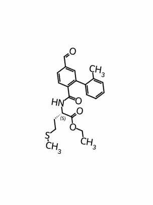 CCOC(=O)[C@H](CCSC)NC(=O)c1ccc(C=O)cc1-c1ccccc1C